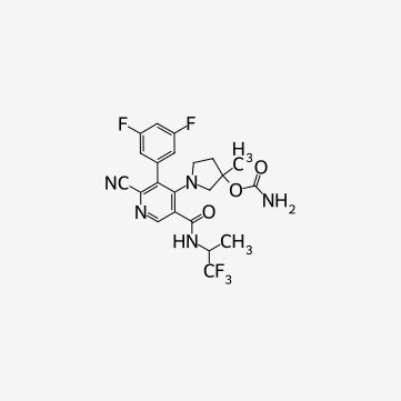 CC(NC(=O)c1cnc(C#N)c(-c2cc(F)cc(F)c2)c1N1CCC(C)(OC(N)=O)C1)C(F)(F)F